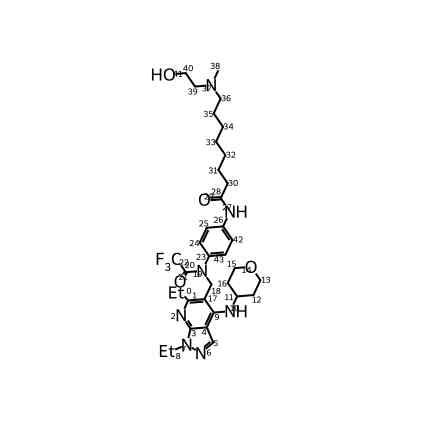 CCc1nc2c(cnn2CC)c(NC2CCOCC2)c1CN(C(=O)C(F)(F)F)c1ccc(NC(=O)CCCCCCCN(C)CCO)cc1